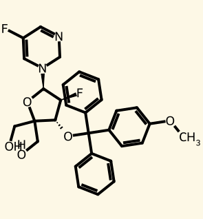 COc1ccc(C(O[C@H]2[C@H](F)[C@H](N3C=C(F)C=NC3)OC2(CO)CO)(c2ccccc2)c2ccccc2)cc1